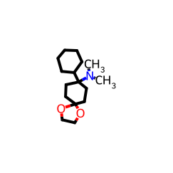 CN(C)C1(C2CCCCC2)CCC2(CC1)OCCO2